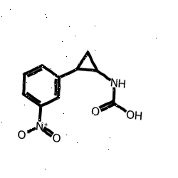 O=C(O)NC1CC1c1cccc([N+](=O)[O-])c1